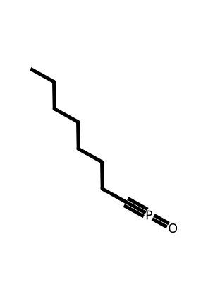 CCCCCCCC#P=O